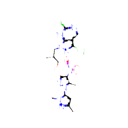 Cc1cc(-n2nc(OC[C@@H](C)Cn3nc(Cl)c4cnc(Cl)nc43)c([N+](=O)[O-])c2C)n(C)n1